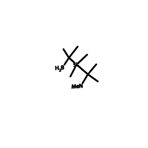 BC(C)(C)[Si](C)(C)C(C)(C)NC